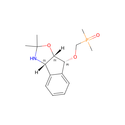 CC1(C)N[C@H]2c3ccccc3[C@@H](OCP(C)(C)=O)[C@H]2O1